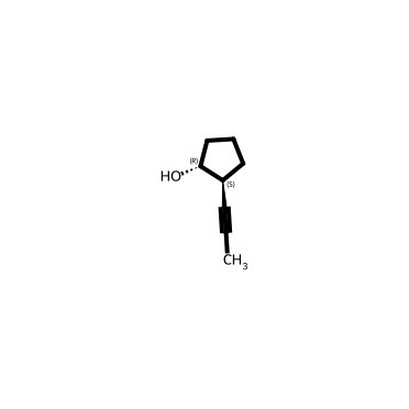 CC#C[C@@H]1CCC[C@H]1O